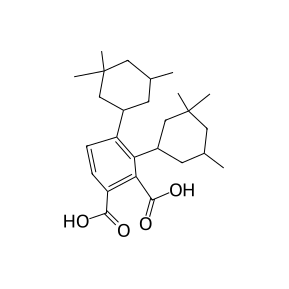 CC1CC(c2ccc(C(=O)O)c(C(=O)O)c2C2CC(C)CC(C)(C)C2)CC(C)(C)C1